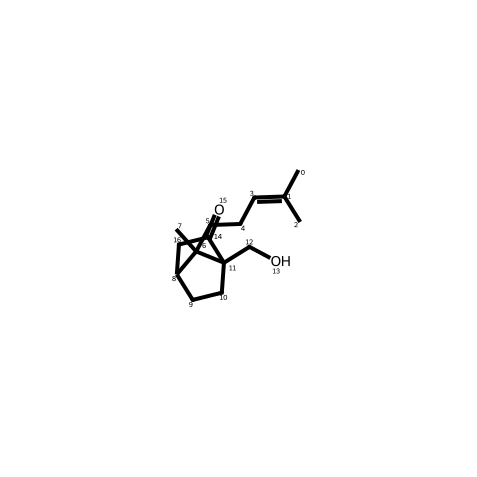 CC(C)=CCCC1(C)C2CCC1(CO)C(=O)C2